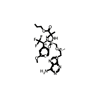 CCCOC(=O)C(C)(C)N[P@@](=O)(CO[C@H](C)Cn1cnc2c(N)ncnc21)N[C@@H](c1cccc(OC)c1)C(F)(F)F